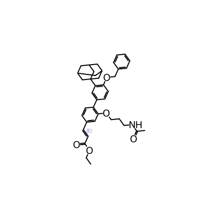 CCOC(=O)/C=C/c1ccc(-c2ccc(OCc3ccccc3)c(C34CC5CC(CC(C5)C3)C4)c2)c(OCCCNC(C)=O)c1